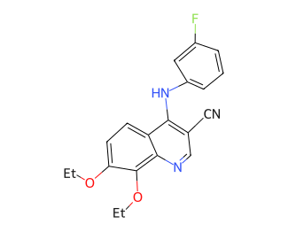 CCOc1ccc2c(Nc3cccc(F)c3)c(C#N)cnc2c1OCC